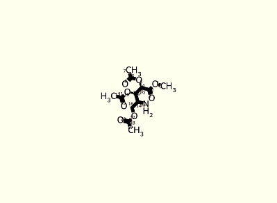 COC(=O)[C@H](OC(C)=O)[C@H](OC(C)=O)C(N)COC(C)=O